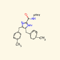 CCCCCCNC(=O)c1nc(Cc2ccc(C)cc2)c(Cc2ccc(C)cc2)[nH]1